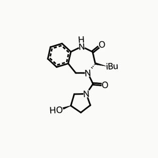 CC[C@H](C)[C@H]1C(=O)Nc2ccccc2CN1C(=O)N1CC[C@@H](O)C1